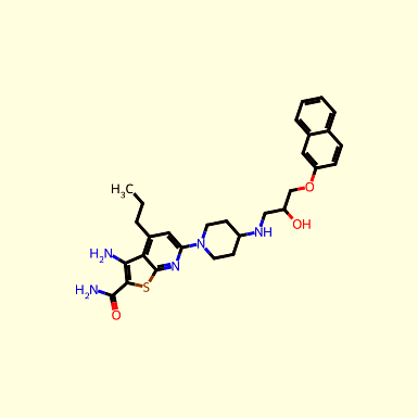 CCCc1cc(N2CCC(NCC(O)COc3ccc4ccccc4c3)CC2)nc2sc(C(N)=O)c(N)c12